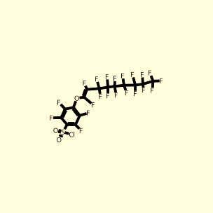 O=S(=O)(Cl)c1c(F)c(F)c(OC(F)=C(F)C(F)(F)C(F)(F)C(F)(F)C(F)(F)C(F)(F)C(F)(F)C(F)(F)F)c(F)c1F